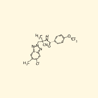 Cc1cc2nn(CC(C)(C#N)NC(=O)c3ccc(OC(F)(F)F)cc3)nc2cc1Cl